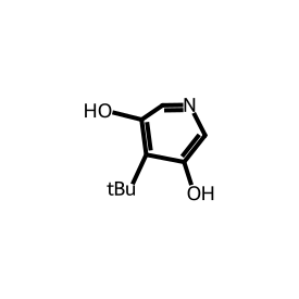 CC(C)(C)c1c(O)cncc1O